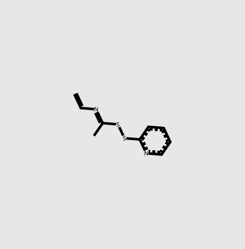 C=C/N=C(\C)SSc1ccccn1